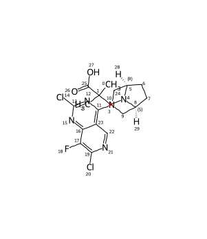 CC(C)(CN1[C@@H]2CC[C@H]1CN(c1nc(Cl)nc3c(F)c(Cl)ncc13)C2)C(=O)O